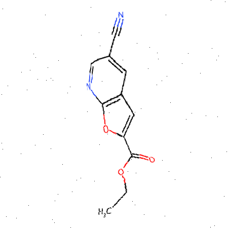 CCOC(=O)c1cc2cc(C#N)cnc2o1